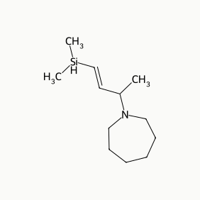 CC(C=C[SiH](C)C)N1CCCCCC1